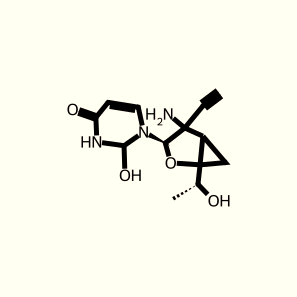 C#CC1(N)C2CC2([C@@H](C)O)O[C@H]1N1C=CC(=O)NC1O